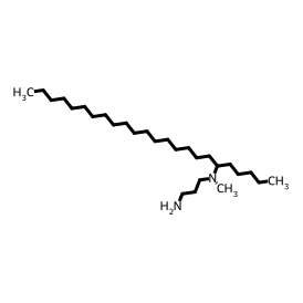 CCCCCCCCCCCCCCCCCCC(CCCCC)N(C)CCCN